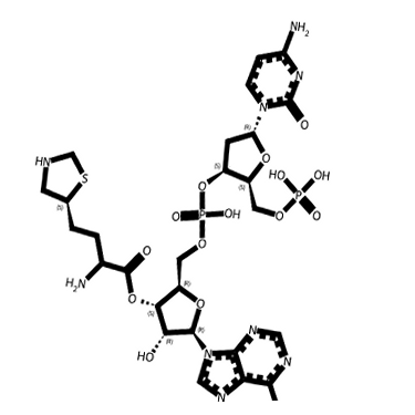 Nc1ccn([C@H]2C[C@H](OP(=O)(O)OC[C@H]3O[C@@H](n4cnc5c(N)ncnc54)[C@H](O)[C@@H]3OC(=O)C(N)CC[C@H]3CNCS3)[C@H](COP(=O)(O)O)O2)c(=O)n1